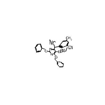 Cc1cc(C#N)cc(C(C#N)c2nc(OCc3ccccc3)nc(OCc3ccccc3)c2C(C)(C)C)c1